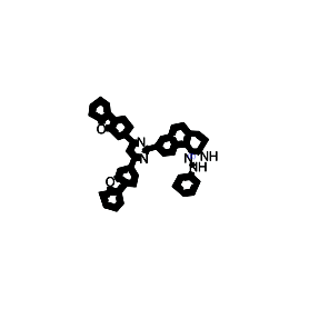 N=C1C=Cc2ccc3cc(-c4nc(-c5ccc6c(c5)oc5ccccc56)cc(-c5ccc6c(c5)oc5ccccc56)n4)ccc3c2/C1=N/Nc1ccccc1